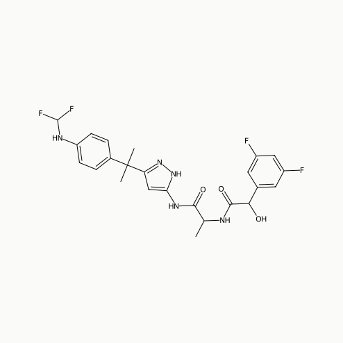 CC(NC(=O)C(O)c1cc(F)cc(F)c1)C(=O)Nc1cc(C(C)(C)c2ccc(NC(F)F)cc2)n[nH]1